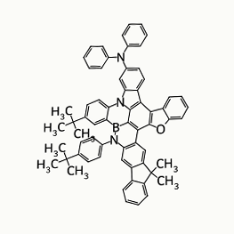 CC(C)(C)c1ccc(N2B3c4cc(C(C)(C)C)ccc4-n4c5cc(N(c6ccccc6)c6ccccc6)ccc5c5c6c(oc7ccccc76)c(c3c54)-c3cc4c(cc32)-c2ccccc2C4(C)C)cc1